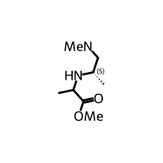 CNC[C@H](C)NC(C)C(=O)OC